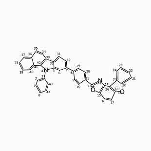 c1ccc(-n2c3cc(-c4ccc(-c5nc6c(ccc7oc8ccccc8c76)o5)cc4)ccc3c3ccc4ccccc4c32)cc1